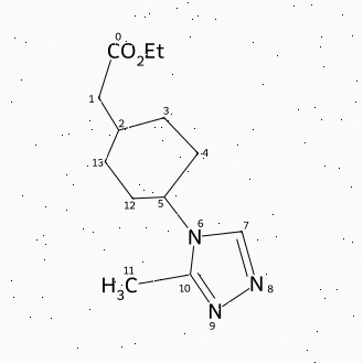 CCOC(=O)CC1CCC(n2cnnc2C)CC1